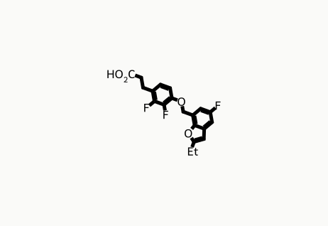 CCc1cc2cc(F)cc(COc3ccc(CCC(=O)O)c(F)c3F)c2o1